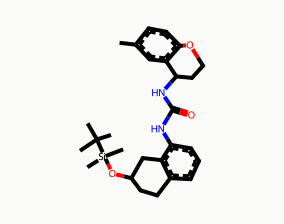 Cc1ccc2c(c1)C(NC(=O)Nc1cccc3c1CC(O[Si](C)(C)C(C)(C)C)CC3)CCO2